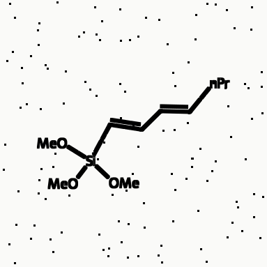 CCCC=CC=C[Si](OC)(OC)OC